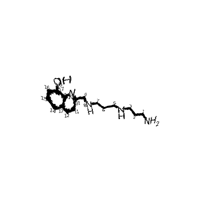 NCCCNCCCNCc1ccc2cccc(O)c2n1